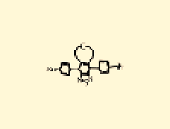 CC(C)c1ccc(-c2c3c(c(-c4ccc(C(C)(C)C)cc4)c4nsnc24)CCCCCCC3)cc1